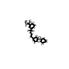 CC(C)(CC=Cc1cccc(Oc2ccccc2)c1)c1cccc(C(F)(F)F)c1